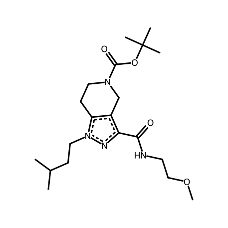 COCCNC(=O)c1nn(CCC(C)C)c2c1CN(C(=O)OC(C)(C)C)CC2